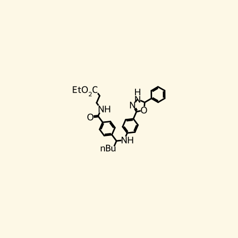 CCCCC(Nc1ccc(C2=NNC(c3ccccc3)O2)cc1)c1ccc(C(=O)NCCC(=O)OCC)cc1